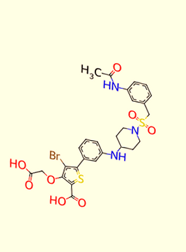 CC(=O)Nc1cccc(CS(=O)(=O)N2CCC(Nc3cccc(-c4sc(C(=O)O)c(OCC(=O)O)c4Br)c3)CC2)c1